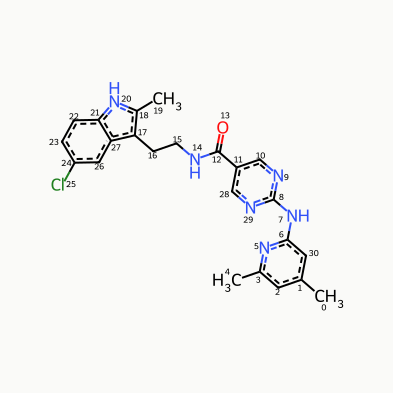 Cc1cc(C)nc(Nc2ncc(C(=O)NCCc3c(C)[nH]c4ccc(Cl)cc34)cn2)c1